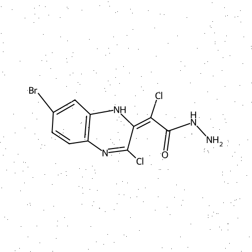 NNC(=O)/C(Cl)=C1/Nc2cc(Br)ccc2N=C1Cl